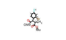 COC(=O)C(c1ccc(F)cc1Br)C(C)C(=O)OC(C)(C)C